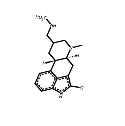 CN1CC(CNC(=O)O)C[C@H]2c3cccc4[nH]c(Cl)c(c34)C[C@@H]21